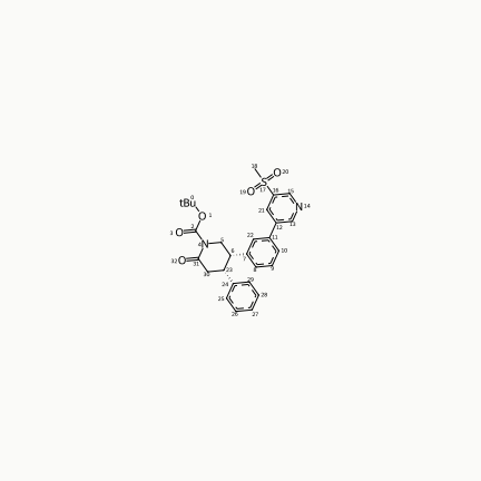 CC(C)(C)OC(=O)N1C[C@H](c2cccc(-c3cncc(S(C)(=O)=O)c3)c2)[C@H](c2ccccc2)CC1=O